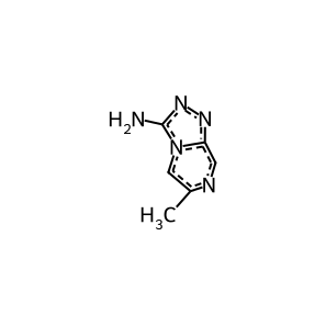 Cc1cn2c(N)nnc2cn1